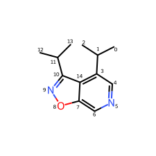 CC(C)c1cncc2onc(C(C)C)c12